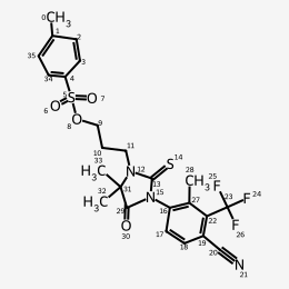 Cc1ccc(S(=O)(=O)OCCCN2C(=S)N(c3ccc(C#N)c(C(F)(F)F)c3C)C(=O)C2(C)C)cc1